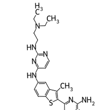 CCN(CC)CCNc1nccc(Nc2ccc3sc(-c4ccnc(N)n4)c(C)c3c2)n1